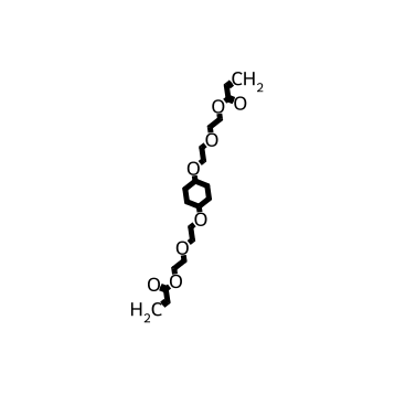 C=CC(=O)OCCOCCOC1CCC(OCCOCCOC(=O)C=C)CC1